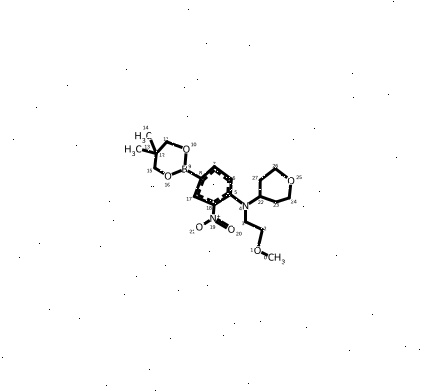 COCCN(c1ccc(B2OCC(C)(C)CO2)cc1[N+](=O)[O-])C1CCOCC1